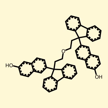 Oc1ccc2cc(C3(CCOCCC4(c5ccc6cc(O)ccc6c5)c5ccccc5-c5ccccc54)c4ccccc4-c4ccccc43)ccc2c1